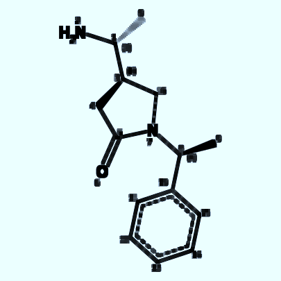 C[C@@H](N)[C@@H]1CC(=O)N([C@@H](C)c2ccccc2)C1